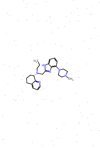 CCCN(Cc1nc2c(N3CCN(C)CC3)cccc2[nH]1)[C@H]1CCCc2cccnc21